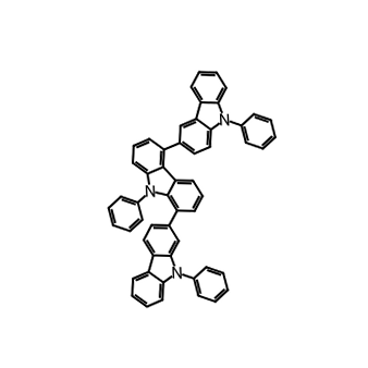 c1ccc(-n2c3ccccc3c3cc(-c4cccc5c4c4cccc(-c6ccc7c8ccccc8n(-c8ccccc8)c7c6)c4n5-c4ccccc4)ccc32)cc1